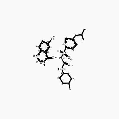 CC(C)Cc1ccc(S(=O)(=O)NC(=O)NC2CCC(C)CC2)cc1.O=c1[nH]cnc2ccc(Cl)cc12